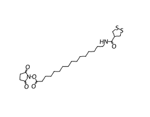 O=C(CCCCCCCCCCCCCCCNC(=O)C1CSSC1)ON1C(=O)CCC1=O